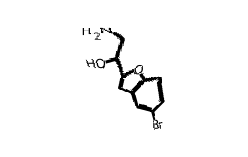 NCC(O)c1cc2cc(Br)ccc2o1